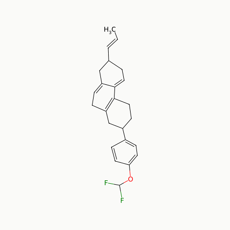 CC=CC1CC=C2C(=CCC3=C2CCC(c2ccc(OC(F)F)cc2)C3)C1